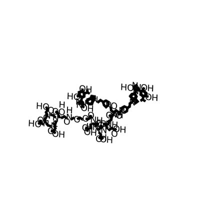 CC(C)c1cc(-c2nnc(O)n2-c2ccc3c(ccn3CCC3CCN(C(=O)CC(CC(=O)N4CCC(CCn5ccc6cc(-n7c(O)nnc7-c7cc(C(C)C)c(O)cc7O)ccc65)CC4)NC(=O)CCNC(=O)[C@@H](CCC(=O)O)NC(=O)[C@@H](CCC(=O)O)NC(=O)[C@@H](CCC(=O)O)NC(=O)COCCOCCNC(=O)CC[C@H](C(=O)O)N4CCN(CC(=O)O)CCN(CC(=O)O)CCN(CC(=O)O)CC4)CC3)c2)c(O)cc1O